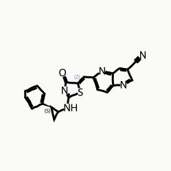 N#Cc1cnc2ccc(/C=C3\SC(NC4C[C@H]4c4ccccc4)=NC3=O)nc2c1